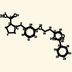 O=C(O)C1CCCN1Cc1cccc(OCCc2coc(-c3ccccc3)n2)c1